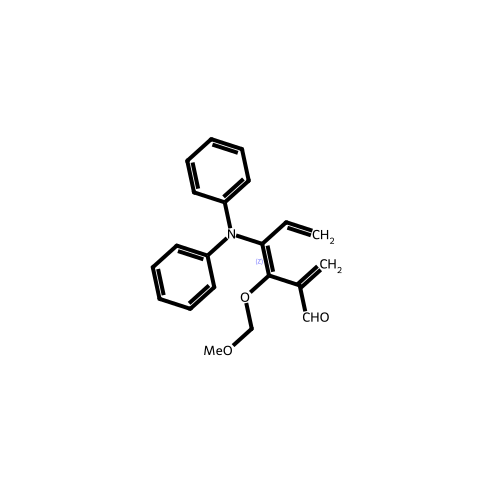 C=C/C(=C(/OCOC)C(=C)C=O)N(c1ccccc1)c1ccccc1